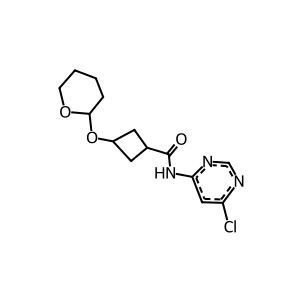 O=C(Nc1cc(Cl)ncn1)C1CC(OC2CCCCO2)C1